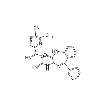 Cc1nc(C(=N)OC(=N)NC2N=C(c3ccccc3)c3ccccc3NC2=O)ccc1C#N